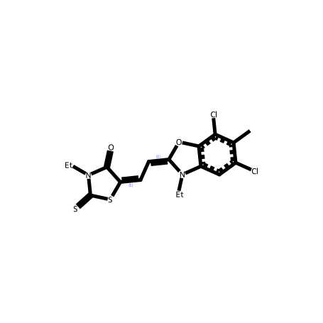 CCN1C(=O)/C(=C\C=C2\Oc3c(cc(Cl)c(C)c3Cl)N2CC)SC1=S